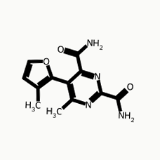 Cc1ccoc1-c1c(C)nc(C(N)=O)nc1C(N)=O